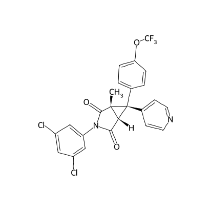 C[C@]12C(=O)N(c3cc(Cl)cc(Cl)c3)C(=O)[C@H]1[C@@]2(c1ccncc1)c1ccc(OC(F)(F)F)cc1